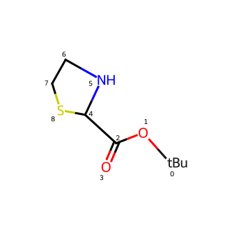 CC(C)(C)OC(=O)C1NCCS1